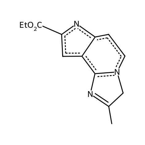 CCOC(=O)c1cc2c3n(ccc-2n1)CC(C)=N3